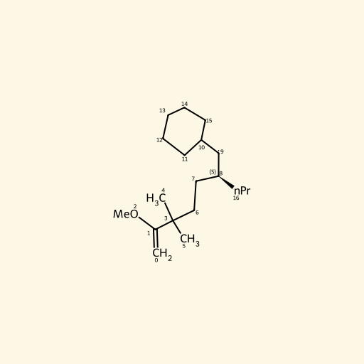 C=C(OC)C(C)(C)CC[C@@H]([CH]C1CCCCC1)CCC